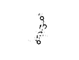 CC#CCn1c(N2CCC[C@@H](N=Cc3ccc([N+](=O)[O-])cc3)C2)nc2c1c(=O)n(Cc1nc(C)c3ccccc3n1)c(=O)n2C